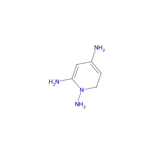 NC1=CCN(N)C(N)=C1